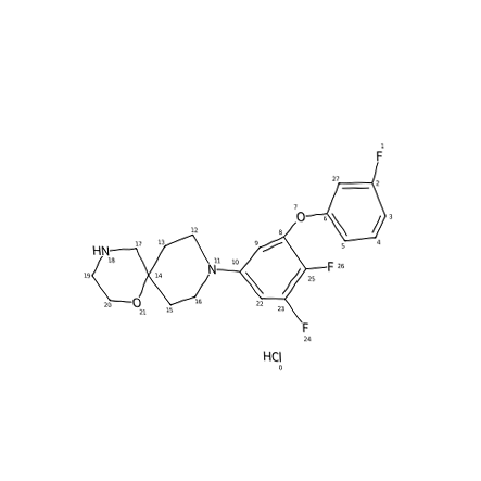 Cl.Fc1cccc(Oc2cc(N3CCC4(CC3)CNCCO4)cc(F)c2F)c1